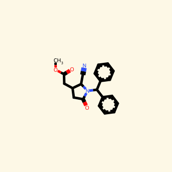 COC(=O)CC1CC(=O)N(C(c2ccccc2)c2ccccc2)C1C#N